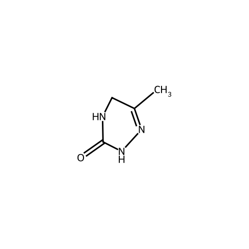 CC1=NNC(=O)NC1